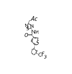 CC(=O)Cc1nsc(NC(=O)c2csc(-c3cccc(C(F)(F)F)c3)c2)n1